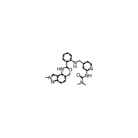 CN(C)C(=O)Nc1cc(CNc2ccccc2C(=O)Nc2c(F)ccc3nn(C)cc23)ccn1